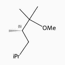 COC(C)(C)[C@@H](C)CC(C)C